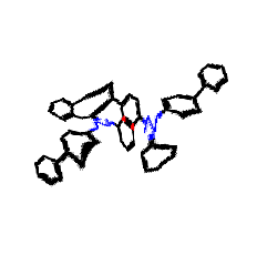 c1ccc(-c2ccc(N(c3ccccc3)c3ccc(-c4ccc5ccccc5c4N(c4ccccc4)c4ccc(-c5ccccc5)cc4)cc3)cc2)cc1